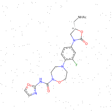 CC(=O)NC[C@H]1CN(c2ccc(N3CCON(C(=O)Nc4ncco4)CC3)c(F)c2)C(=O)O1